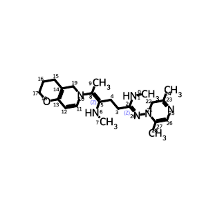 CN/C(CC/C(NC)=C(\C)N1C=CC2=C(CCCO2)C1)=N\N1CC(C)=NC=C1C